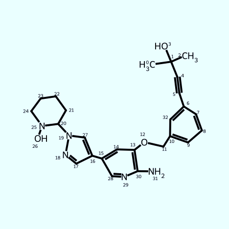 CC(C)(O)C#Cc1cccc(COc2cc(-c3cnn(C4CCCCN4O)c3)cnc2N)c1